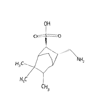 CC1C2CC([C@@H](S(=O)(=O)O)[C@@H]2CN)C1(C)C